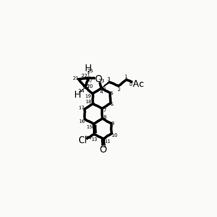 CC(=O)CCC[C@@]12CCC3C4CCC(=O)C(Cl)=C4CCC3C1[C@H]1C[C@H]1O2